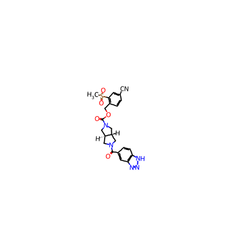 CS(=O)(=O)c1cc(C#N)ccc1COC(=O)N1C[C@@H]2CN(C(=O)c3ccc4[nH]nnc4c3)C[C@H]2C1